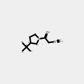 [C-]#[N+]CC(=O)N1CCC(C(C)(C)C)C1